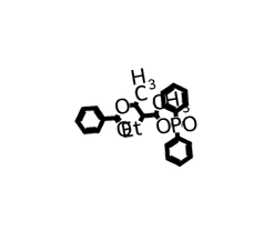 CCC(C(C)OC(=O)c1ccccc1)C(C)OP(=O)(c1ccccc1)c1ccccc1